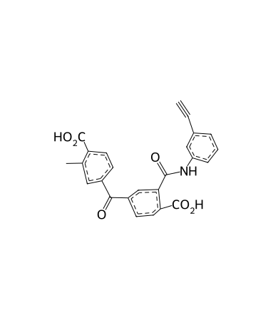 C#Cc1cccc(NC(=O)c2cc(C(=O)c3ccc(C(=O)O)c(C)c3)ccc2C(=O)O)c1